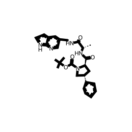 C[C@H](NC(=O)[C@H]1C[C@H](c2ccccc2)CN1C(=O)OC(C)(C)C)C(=O)NCc1cnc2[nH]ccc2c1